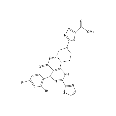 COC(=O)C1=C(C2CCN(c3ncc(C(=O)OC)s3)CC2)NC(c2nccs2)=NC1c1ccc(F)cc1Br